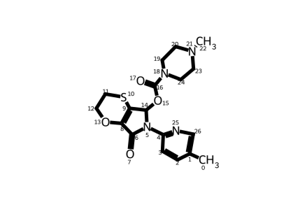 Cc1ccc(N2C(=O)C3=C(SCCO3)C2OC(=O)N2CCN(C)CC2)nc1